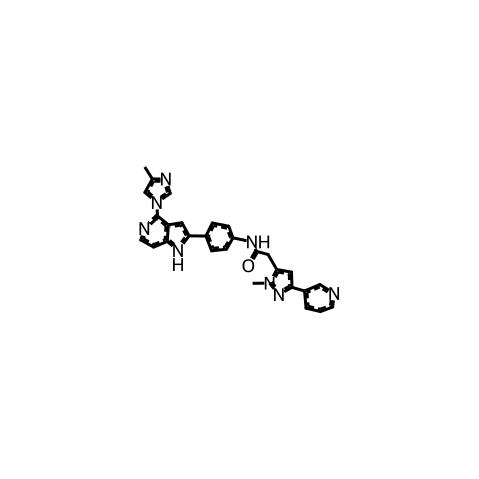 Cc1cn(-c2nccc3[nH]c(-c4ccc(NC(=O)Cc5cc(-c6cccnc6)nn5C)cc4)cc23)cn1